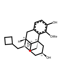 COc1c(O)ccc2c1[C@]13CCN(CC4CCC4)[C@H](C2)[C@]1(O)CC[C@H](O)C3